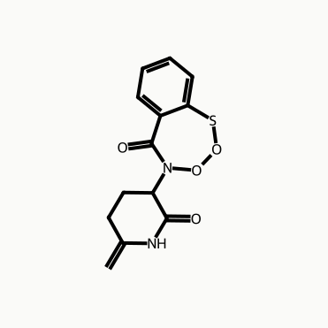 C=C1CCC(n2oosc3ccccc3c2=O)C(=O)N1